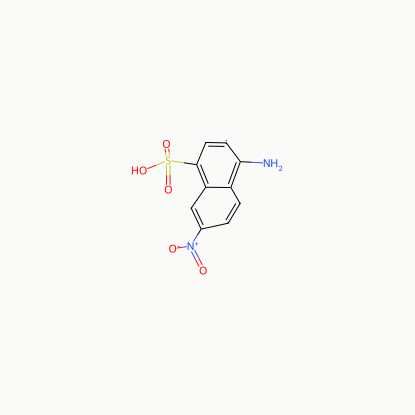 Nc1[c]cc(S(=O)(=O)O)c2cc([N+](=O)[O-])ccc12